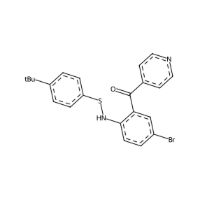 CC(C)(C)c1ccc(SNc2ccc(Br)cc2C(=O)c2ccncc2)cc1